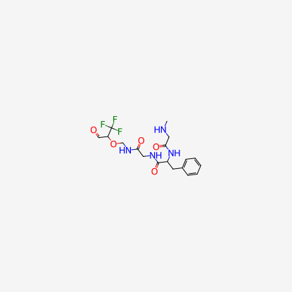 CNCC(=O)NC(Cc1ccccc1)C(=O)NCC(=O)NCOC(C=O)C(F)(F)F